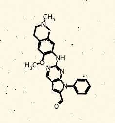 COc1cc2c(cc1Nc1ncc3cc(C=O)n(-c4ccccc4)c3n1)CN(C)CC2